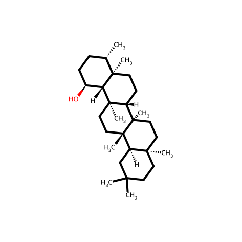 C[C@H]1CC[C@H](O)[C@@H]2[C@]1(C)CC[C@H]1[C@@]2(C)CC[C@@]2(C)[C@@H]3CC(C)(C)CC[C@]3(C)CC[C@]12C